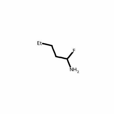 CCCCC(N)F